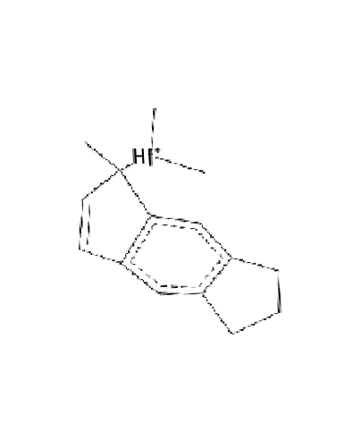 [CH3][Hf+]([CH3])[C]1(C)C=Cc2cc3c(cc21)CCC3